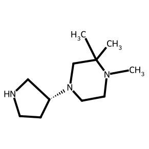 CN1CCN([C@@H]2CCNC2)CC1(C)C